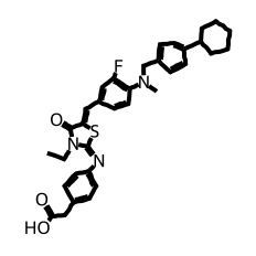 CCN1C(=O)/C(=C/c2ccc(N(C)Cc3ccc(C4CCCCC4)cc3)c(F)c2)S/C1=N/c1ccc(CC(=O)O)cc1